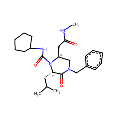 CNC(=O)C[C@H]1CN(Cc2ccccc2)C(=O)[C@H](CC(C)C)N1C(=O)NC1CCCCC1